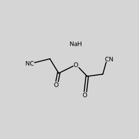 N#CCC(=O)OC(=O)CC#N.[NaH]